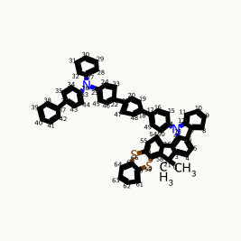 CC1(C)c2ccc3c4ccccc4n(-c4ccc(-c5ccc(-c6ccc(N(c7ccccc7)c7ccc(-c8ccccc8)cc7)cc6)cc5)cc4)c3c2-c2ccc3c(c21)Sc1ccccc1S3